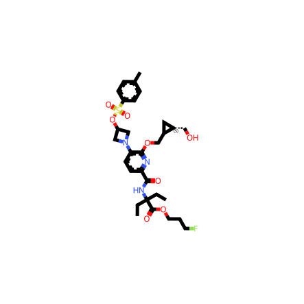 CCC(CC)(NC(=O)c1ccc(N2CC(OS(=O)(=O)c3ccc(C)cc3)C2)c(OCC2C[C@@H]2CO)n1)C(=O)OCCCF